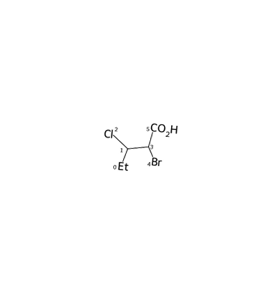 CCC(Cl)C(Br)C(=O)O